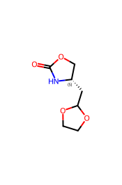 O=C1N[C@@H](CC2OCCO2)CO1